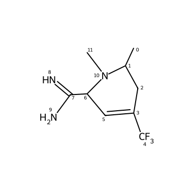 CC1CC(C(F)(F)F)=CC(C(=N)N)N1C